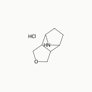 C1CC2NC1C1COCC21.Cl